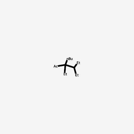 CCCCC(CC)([C](CC)CC)C(C)=O